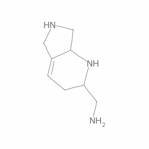 NCC1CC=C2CNCC2N1